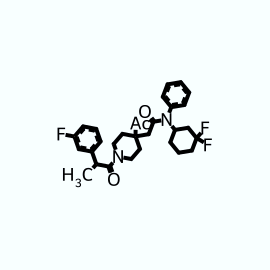 CC(=O)C1(CC(=O)N(c2ccccc2)C2CCCC(F)(F)C2)CCN(C(=O)C(C)c2cccc(F)c2)CC1